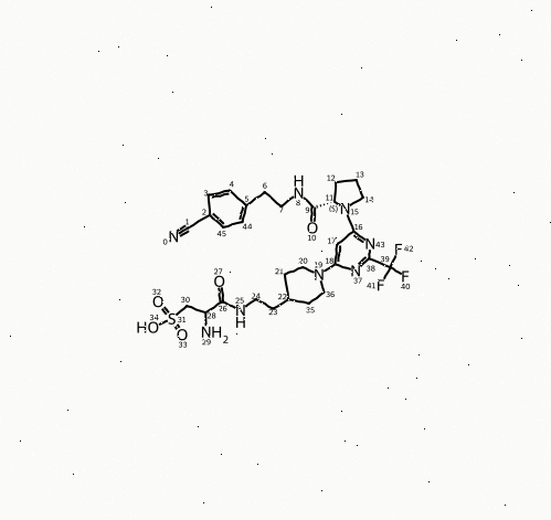 N#Cc1ccc(CCNC(=O)[C@@H]2CCCN2c2cc(N3CCC(CCNC(=O)C(N)CS(=O)(=O)O)CC3)nc(C(F)(F)F)n2)cc1